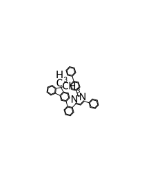 CC1(C)c2ccccc2-c2cc(-c3ccccc3-c3cc(-c4ccccc4)nc(-c4ccc(-c5ccccc5)cc4)n3)ccc21